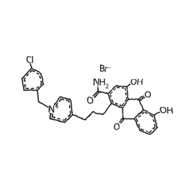 NC(=O)c1cc(O)c2c(c1CCCc1cc[n+](Cc3ccc(Cl)cc3)cc1)C(=O)c1cccc(O)c1C2=O.[Br-]